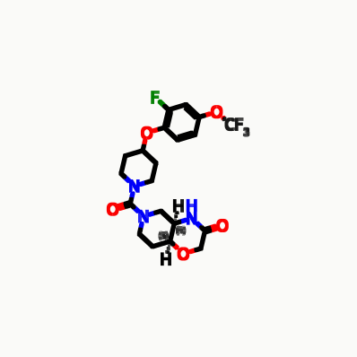 O=C1CO[C@H]2CCN(C(=O)N3CCC(Oc4ccc(OC(F)(F)F)cc4F)CC3)C[C@H]2N1